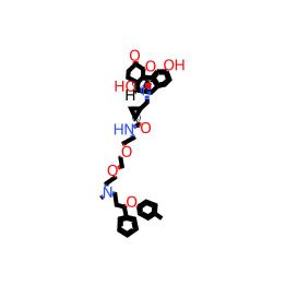 Cc1ccc(OC(CCN(C)CCOCCOCCNC(=O)[C@@H]2CC2CN2CC[C@]34c5c6ccc(O)c5OC3C(=O)CC[C@@]4(O)[C@H]2C6)c2ccccc2)cc1